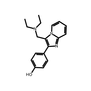 CCN(CC)Cc1c(-c2ccc(O)cc2)nc2ccccn12